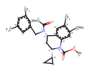 COC(=O)N(Cc1cc(C(F)(F)F)cc(C(F)(F)F)c1)[C@H]1C[C@@H](C2CC2)N(C(=O)OC(C)C)c2cc(OC)c(C(F)(F)F)cc21